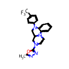 Cc1nnc(N2CCN3c4ccccc4N(c4ccc(C(F)(F)F)cc4)CC3C2)o1